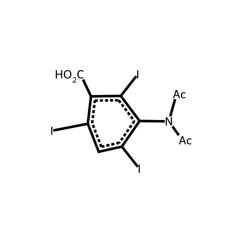 CC(=O)N(C(C)=O)c1c(I)cc(I)c(C(=O)O)c1I